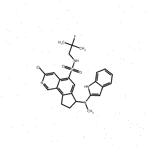 CN(c1cc2ccccc2[nH]1)C1CCc2c1cc(S(=O)(=O)NCC(C)(C)F)c1cc(Cl)ncc21